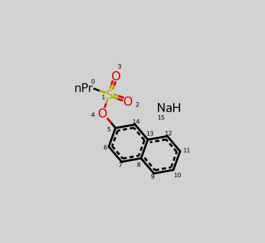 CCCS(=O)(=O)Oc1ccc2ccccc2c1.[NaH]